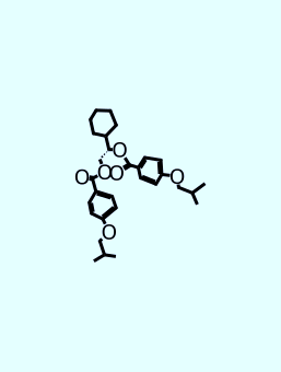 CC(C)COc1ccc(C(=O)OC[C@@H](OC(=O)c2ccc(OCC(C)C)cc2)C2CCCCC2)cc1